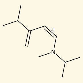 C=C(/C=C\N(C)C(C)C)C(C)C